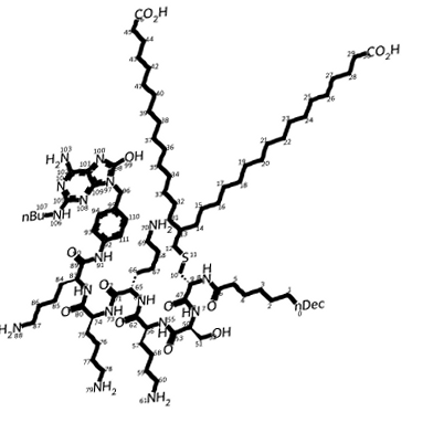 CCCCCCCCCCCCCCCC(=O)N[C@@H](CSCC(CCCCCCCCCCCCCCCCC(=O)O)CCCCCCCCCCCCCCCC(=O)O)C(=O)N[C@@H](CO)C(=O)N[C@@H](CCCCN)C(=O)N[C@@H](CCCCN)C(=O)N[C@@H](CCCCN)C(=O)N[C@@H](CCCCN)C(=O)Nc1ccc(Cn2c(O)nc3c(N)nc(NCCCC)nc32)cc1